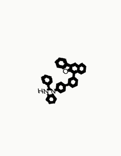 c1ccc(C2Nc3ccccc3N2c2ccc(-c3cccc(-c4c5ccccc5cc5c4oc4ccccc45)c3)cc2)cc1